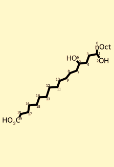 CCCCCCCCC(O)CCC(O)CCCCCCCCCCCCC(=O)O